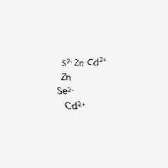 [Cd+2].[Cd+2].[S-2].[Se-2].[Zn].[Zn]